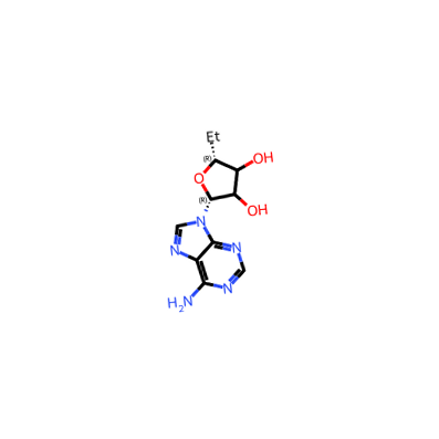 CC[C@H]1O[C@@H](n2cnc3c(N)ncnc32)C(O)C1O